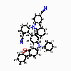 N#Cc1ccc2c(c1)c1ccccc1n2-c1cccc(C#N)c1-c1ccc2c(c1)c1c3oc4ccccc4c3ccc1n2-c1ccccc1